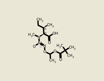 CC[C@@H](C)[C@@H](C(=O)O)N(C)/[N+]([O-])=N/OC(C)OC(=O)C(C)(C)C